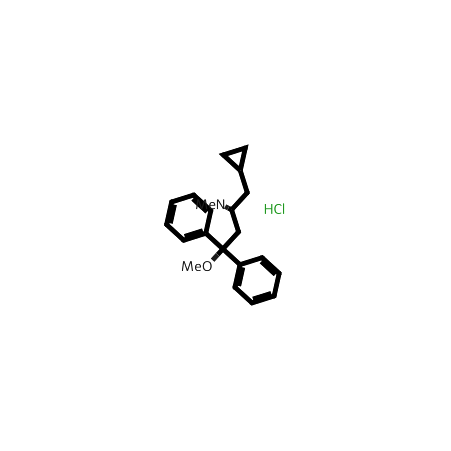 CNC(CC1CC1)CC(OC)(c1ccccc1)c1ccccc1.Cl